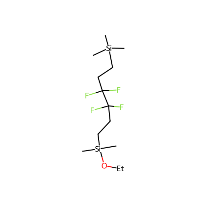 CCO[Si](C)(C)CCC(F)(F)C(F)(F)CC[Si](C)(C)C